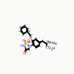 CC(=O)N[C@@H](Cc1ccc(N2CC(=O)NS2(=O)=O)c(OCc2ccccc2)c1)C(=O)O